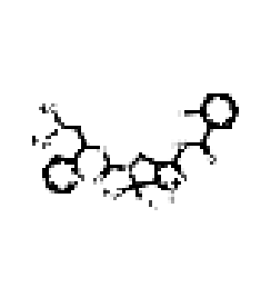 CN(C)CC(OC(=O)N1Cc2c(NC(=O)c3ccccc3F)n[nH]c2C1(C)C)c1ccccn1